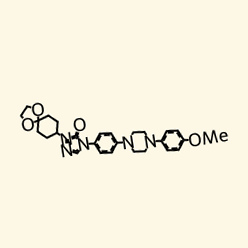 COc1ccc(N2CCN(c3ccc(-n4cnn(C5CCC6(CC5)OCCO6)c4=O)cc3)CC2)cc1